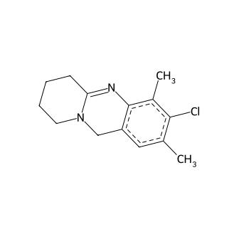 Cc1cc2c(c(C)c1Cl)N=C1CCCCN1C2